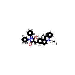 CN1c2ccccc2C(C)(C)c2c1ccc1cc(C=C3C(=O)N(c4ccccc4)N(c4ccccc4)C3=O)ccc21